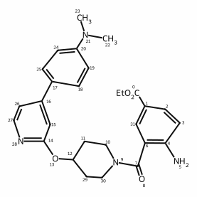 CCOC(=O)c1ccc(N)c(C(=O)N2CCC(Oc3cc(-c4ccc(N(C)C)cc4)ccn3)CC2)c1